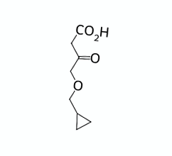 O=C(O)CC(=O)COCC1CC1